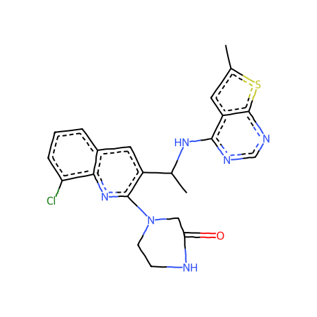 Cc1cc2c(NC(C)c3cc4cccc(Cl)c4nc3N3CCNC(=O)C3)ncnc2s1